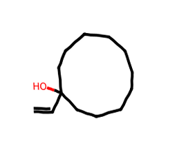 C=CC1(O)CCCCCCCCCC1